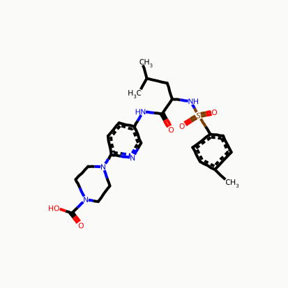 Cc1ccc(S(=O)(=O)NC(CC(C)C)C(=O)Nc2ccc(N3CCN(C(=O)O)CC3)nc2)cc1